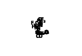 Cn1nc(C(F)(F)C(F)(F)F)c(C(F)(F)F)c1-c1nc(-c2ccc(Cl)c(C(=O)NCc3ccccc3)c2)n[nH]1